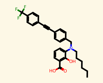 CCCCCCN(Cc1ccc(C#Cc2ccc(C(F)(F)F)cc2)cc1)c1cccc(C(=O)O)c1O